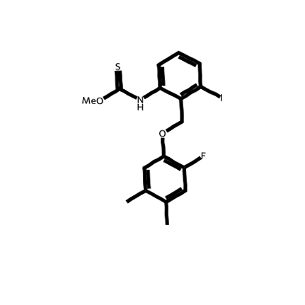 COC(=S)Nc1cccc(I)c1COc1cc(C)c(C)cc1F